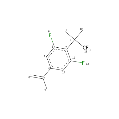 C=C(C)c1cc(F)c(C(C)(C)C(F)(F)F)c(F)c1